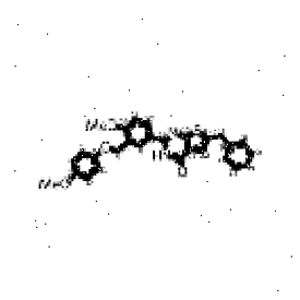 COc1ccc(OCc2cc(-c3nc4sc(Cc5ccccc5)cc4c(=O)[nH]3)ccc2OC)cc1